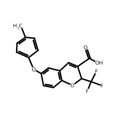 Cc1ccc(Oc2ccc3c(c2)C=C(C(=O)O)C(C(F)(F)F)O3)cc1